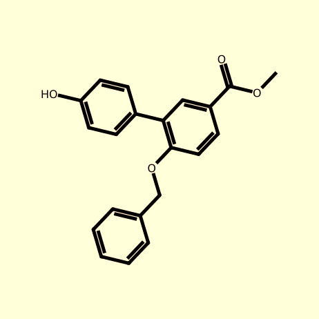 COC(=O)c1ccc(OCc2ccccc2)c(-c2ccc(O)cc2)c1